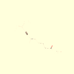 CCOC(C)C#CC(O)CCCCC(=O)OC